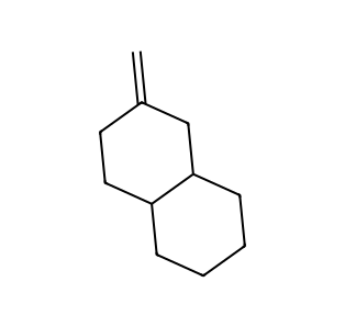 C=C1CCC2CCCCC2C1